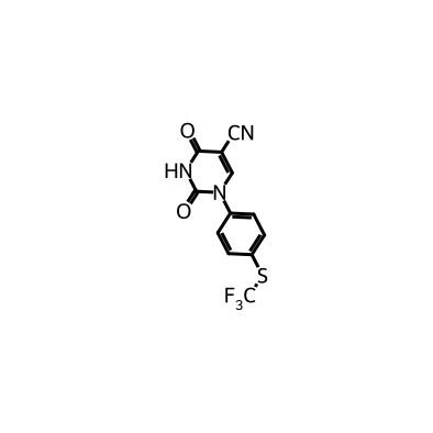 N#Cc1cn(-c2ccc(SC(F)(F)F)cc2)c(=O)[nH]c1=O